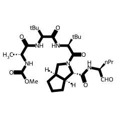 CCC[C@@H](C=O)NC(=O)[C@@H]1[C@H]2CCC[C@H]2CN1C(=O)[C@@H](NC(=O)C(NC(=O)[C@@H](C)NC(=O)OC)C(C)(C)C)C(C)(C)C